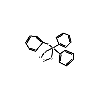 ClOP(OCl)(Oc1ccccc1)(c1ccccc1)c1ccccc1